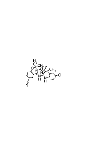 CC1(C)N=C(N[C@@H]2c3cc(C#N)ccc3OC(C)(C)[C@H]2O)Nc2ccc(Cl)cc21